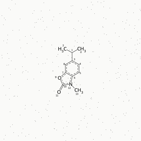 CC(C)c1ccc2c(c1)oc(=O)n2C